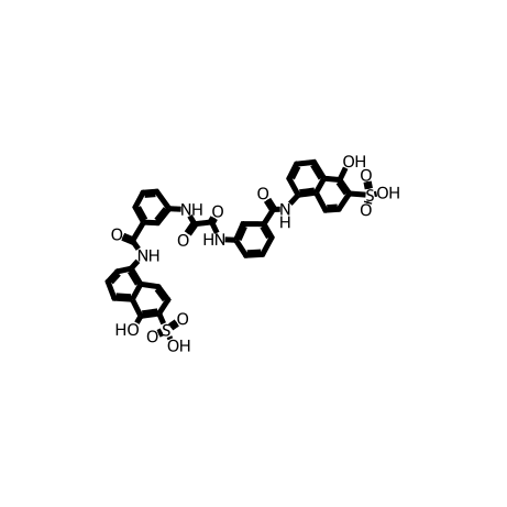 O=C(Nc1cccc(C(=O)Nc2cccc3c(O)c(S(=O)(=O)O)ccc23)c1)C(=O)Nc1cccc(C(=O)Nc2cccc3c(O)c(S(=O)(=O)O)ccc23)c1